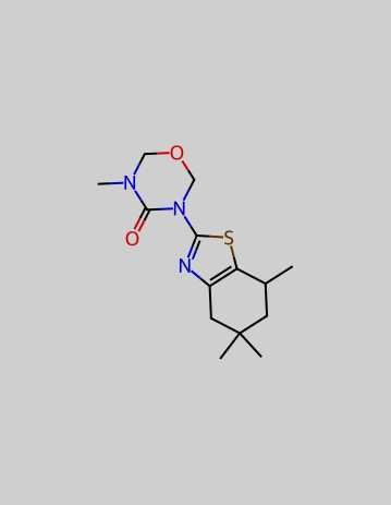 CC1CC(C)(C)Cc2nc(N3COCN(C)C3=O)sc21